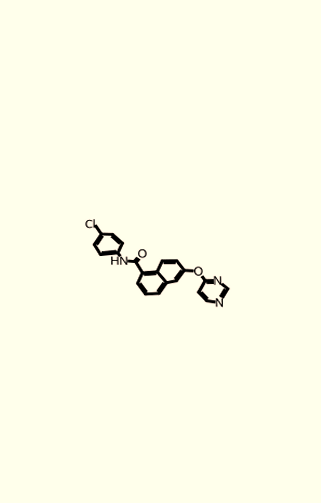 O=C(Nc1ccc(Cl)cc1)c1cccc2cc(Oc3ccncn3)ccc12